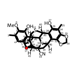 COc1c(C)cc2c(c1O)[C@@H]1C3[C@@H]4SC[C@H](NC(C)=O)C(=O)OC[C@@H](c5c6c(c(C)c(O)c54)OCO6)N3[C@@H](C#N)[C@H](C2)N1C